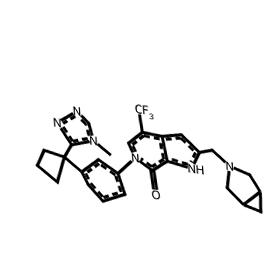 Cn1cnnc1C1(c2cccc(-n3cc(C(F)(F)F)c4cc(CN5CC6CC6C5)[nH]c4c3=O)c2)CCC1